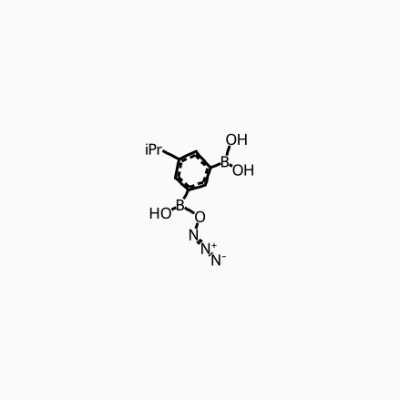 CC(C)c1cc(B(O)O)cc(B(O)ON=[N+]=[N-])c1